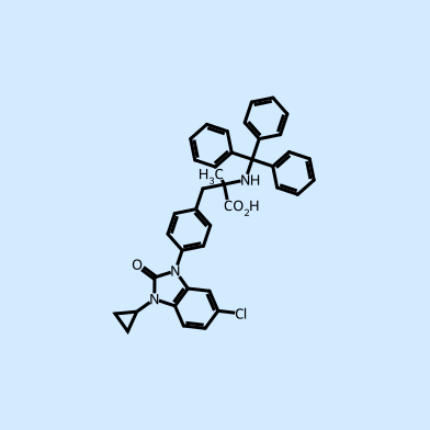 CC(Cc1ccc(-n2c(=O)n(C3CC3)c3ccc(Cl)cc32)cc1)(NC(c1ccccc1)(c1ccccc1)c1ccccc1)C(=O)O